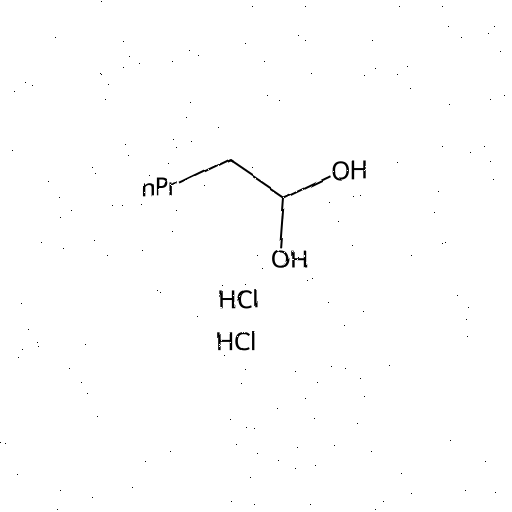 CCCCC(O)O.Cl.Cl